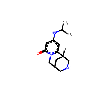 CC(C)Nc1cc2n(c(=O)c1)CC1CNC[C@@H]2C1